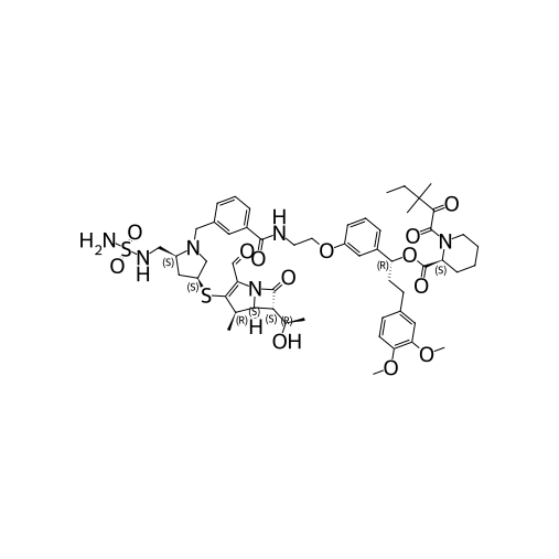 CCC(C)(C)C(=O)C(=O)N1CCCC[C@H]1C(=O)O[C@H](CCc1ccc(OC)c(OC)c1)c1cccc(OCCNC(=O)c2cccc(CN3C[C@@H](SC4=C(C=O)N5C(=O)[C@H]([C@@H](C)O)[C@H]5[C@H]4C)C[C@H]3CNS(N)(=O)=O)c2)c1